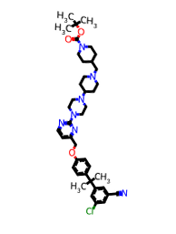 CC(C)(C)OC(=O)N1CCC(CN2CCC(N3CCN(c4nccc(COc5ccc(C(C)(C)c6cc(Cl)cc(C#N)c6)cc5)n4)CC3)CC2)CC1